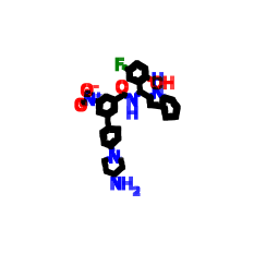 NC1CCN(c2ccc(-c3cc(C(=O)NC(c4cc5ccccc5[nH]4)c4cc(F)ccc4O)cc([N+](=O)[O-])c3)cc2)CC1